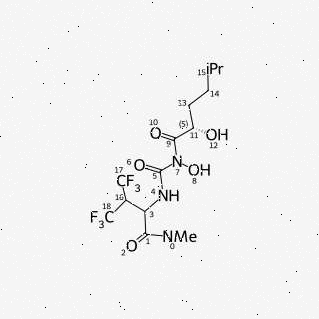 CNC(=O)C(NC(=O)N(O)C(=O)[C@@H](O)CCC(C)C)C(C(F)(F)F)C(F)(F)F